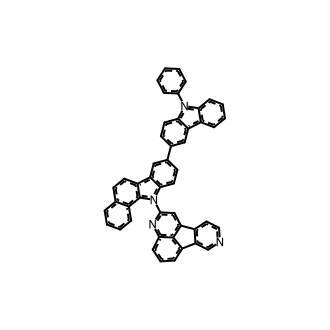 c1ccc(-n2c3ccccc3c3cc(-c4ccc5c(c4)c4ccc6ccccc6c4n5-c4cc5c6c(cccc6n4)-c4cnccc4-5)ccc32)cc1